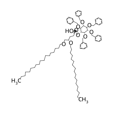 CCCCCCCCCCCCCCCCCCOCC(CCP(=O)(O)O[C@@H]1[C@@H](OCc2ccccc2)[C@H](OCc2ccccc2)[C@@H](OCc2ccccc2)[C@H](OCc2ccccc2)[C@@H]1OCc1ccccc1)OCCCCCCCCCCCCCCCCCC